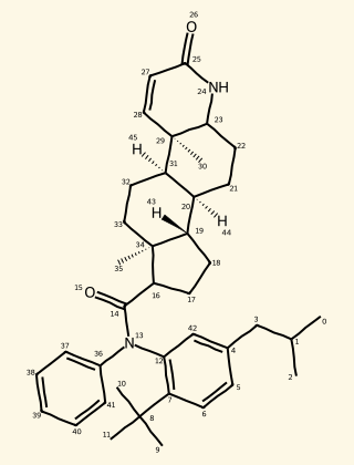 CC(C)Cc1ccc(C(C)(C)C)c(N(C(=O)C2CC[C@H]3[C@@H]4CCC5NC(=O)C=C[C@]5(C)[C@@H]4CC[C@]23C)c2ccccc2)c1